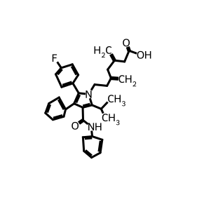 C=C(CCn1c(-c2ccc(F)cc2)c(-c2ccccc2)c(C(=O)Nc2ccccc2)c1C(C)C)CC(=C)CC(=O)O